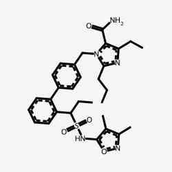 CCCc1nc(CC)c(C(N)=O)n1Cc1ccc(-c2ccccc2C(CC)S(=O)(=O)Nc2onc(C)c2C)cc1